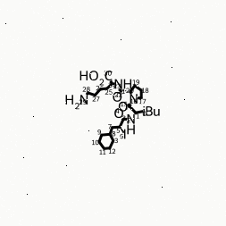 CCC(C)C(NC(=O)[C@@H](I)CC1CCCCC1)C(=O)N1CCC[C@H]1C(=O)NC(CCCCN)C(=O)O